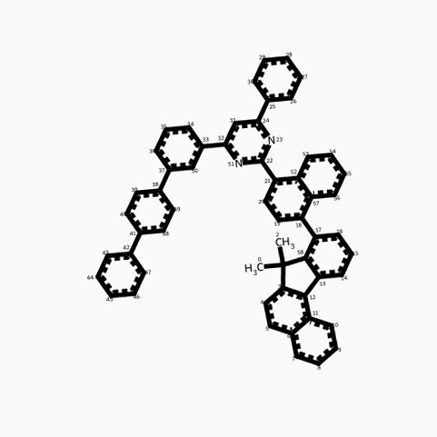 CC1(C)c2ccc3ccccc3c2-c2cccc(-c3ccc(-c4nc(-c5ccccc5)cc(-c5cccc(-c6ccc(-c7ccccc7)cc6)c5)n4)c4ccccc34)c21